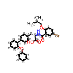 CC(C)COc1ccc(Br)cc1C(=O)N[C@@H](Cc1ccc(-c2ccccc2Oc2ccccc2)cc1)C(=O)O